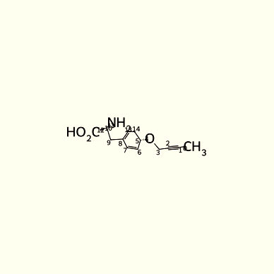 CC#CCO[C@@H]1C=CC(C[C@H](N)C(=O)O)=CC1